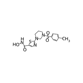 Cc1ccc(S(=O)(=O)N2CCCN(c3ncc(C(=O)NO)s3)C2)cc1